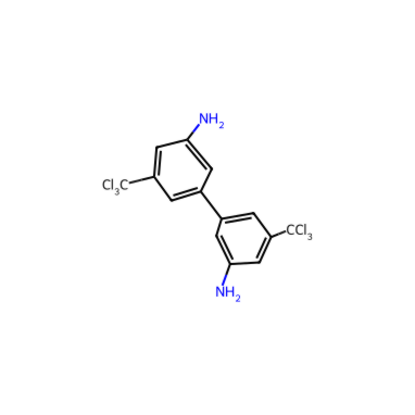 Nc1cc(-c2cc(N)cc(C(Cl)(Cl)Cl)c2)cc(C(Cl)(Cl)Cl)c1